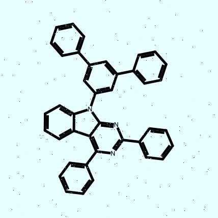 c1ccc(-c2cc(-c3ccccc3)cc(-n3c4ccccc4c4c(-c5ccccc5)nc(-c5ccccc5)nc43)c2)cc1